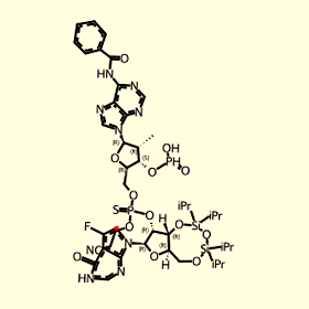 CC(C)[Si]1(C(C)C)OC[C@H]2O[C@@H](n3cc(F)c4c(=O)[nH]cnc43)[C@H](OP(=S)(OCCC#N)OC[C@H]3O[C@@H](n4cnc5c(NC(=O)c6ccccc6)ncnc54)[C@H](C)[C@@H]3O[PH](=O)O)[C@@H]2O[Si](C(C)C)(C(C)C)O1